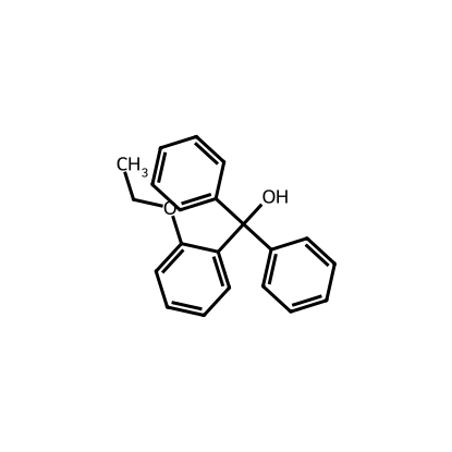 CCOc1ccccc1C(O)(c1ccccc1)c1ccccc1